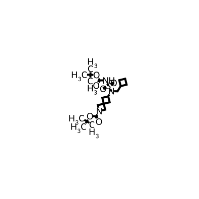 CC(C)(C)OC(=O)NS(=O)(=O)N(CC1CCC1)C1CC2(C1)CN(C(=O)OC(C)(C)C)C2